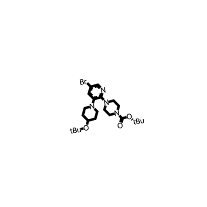 CC(C)(C)OC(=O)N1CCN(c2ncc(Br)cc2N2CCC(OC(C)(C)C)CC2)CC1